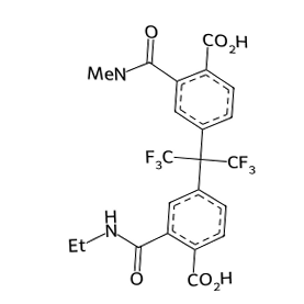 CCNC(=O)c1cc(C(c2ccc(C(=O)O)c(C(=O)NC)c2)(C(F)(F)F)C(F)(F)F)ccc1C(=O)O